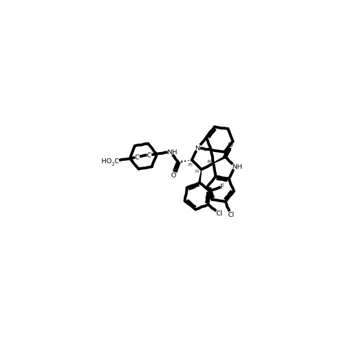 O=C(NC12CCC(C(=O)O)(CC1)CC2)[C@H]1[C@H](c2cccc(Cl)c2F)[C@]2(C(=O)Nc3cc(Cl)ccc32)C23CCCC=C2N13